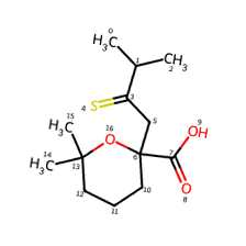 CC(C)C(=S)CC1(C(=O)O)CCCC(C)(C)O1